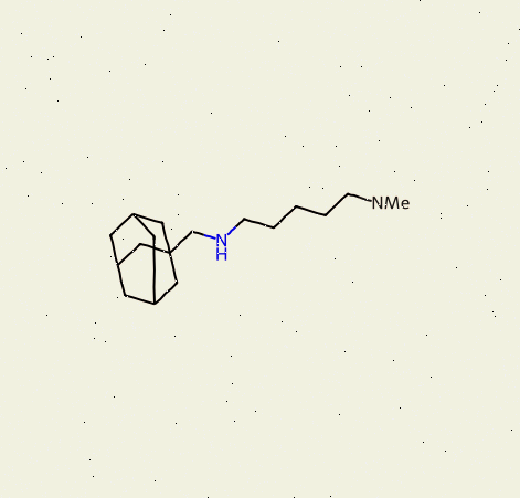 CNCCCCCNCC12CC3CC(CC(C3)C1)C2